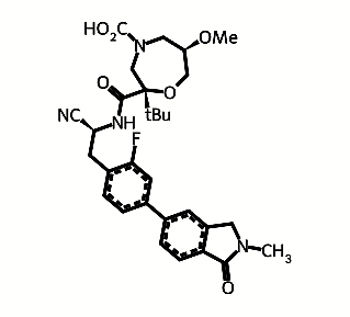 CO[C@H]1CO[C@@](C(=O)N[C@H](C#N)Cc2ccc(-c3ccc4c(c3)CN(C)C4=O)cc2F)(C(C)(C)C)CN(C(=O)O)C1